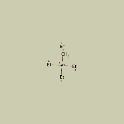 CC[P+](C)(CC)CC.[Br-]